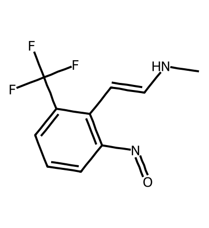 CN/C=C/c1c(N=O)cccc1C(F)(F)F